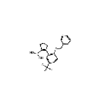 OB(O)C1=C(c2cc(C(F)(F)F)ccc2OCc2ccccc2)CCC1